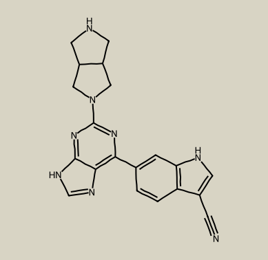 N#Cc1c[nH]c2cc(-c3nc(N4CC5CNCC5C4)nc4[nH]cnc34)ccc12